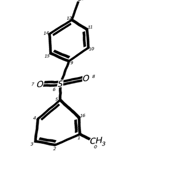 Cc1[c]ccc(S(=O)(=O)c2ccc(Cl)cc2)c1